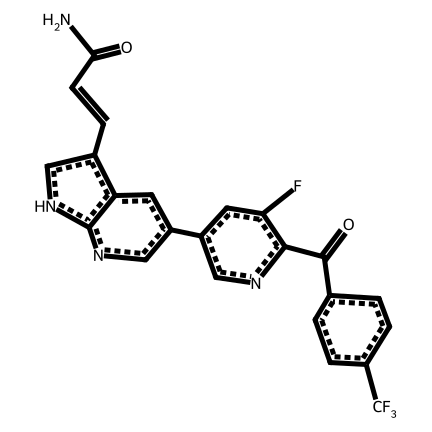 NC(=O)C=Cc1c[nH]c2ncc(-c3cnc(C(=O)c4ccc(C(F)(F)F)cc4)c(F)c3)cc12